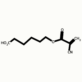 C=C(C#N)C(=O)OCCCCCC(=O)O